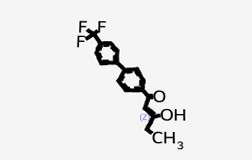 CC/C(O)=C/C(=O)c1ccc(-c2ccc(C(F)(F)F)cc2)cc1